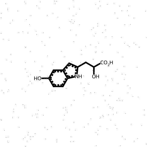 O=C(O)C(O)Cc1cc2cc(O)ccc2[nH]1